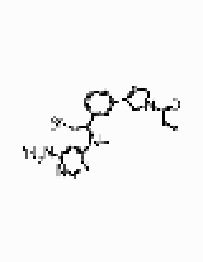 C=CC(=O)N1CC=C(c2cccc(C3C(Br)c4c(N)ncnc4N3C)c2)C1